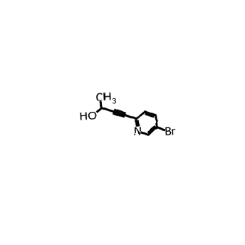 CC(O)C#Cc1ccc(Br)cn1